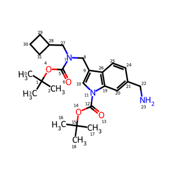 CC(C)(C)OC(=O)N(Cc1cn(C(=O)OC(C)(C)C)c2cc(CN)ccc12)CC1CCC1